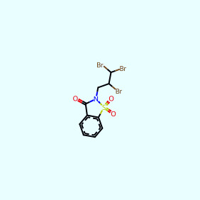 O=C1c2ccccc2S(=O)(=O)N1CC(Br)C(Br)Br